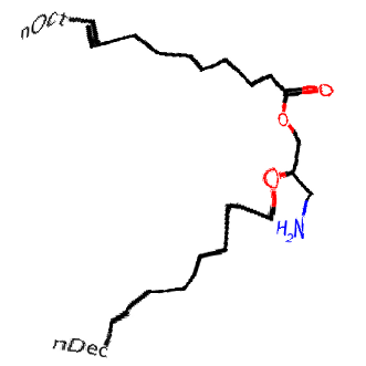 CCCCCCCCC=CCCCCCCCC(=O)OCC(CN)OCCCCCCCCCCCCCCCCCC